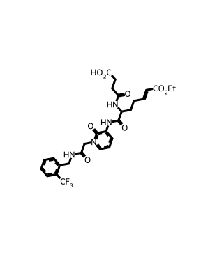 CCOC(=O)C=CCCC(NC(=O)CCC(=O)O)C(=O)Nc1cccn(CC(=O)NCc2ccccc2C(F)(F)F)c1=O